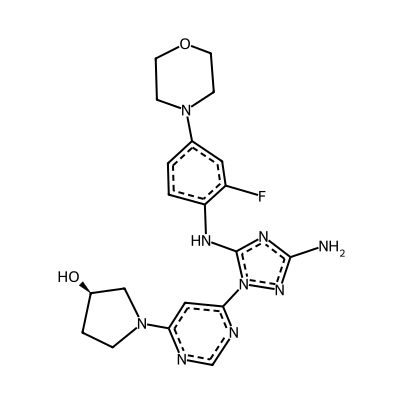 Nc1nc(Nc2ccc(N3CCOCC3)cc2F)n(-c2cc(N3CC[C@@H](O)C3)ncn2)n1